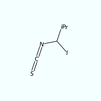 CC(C)C(I)N=C=S